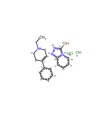 CCN1CC=C(c2ccccc2)CC1.Cl.Cl.Sc1nnc2ccccn12